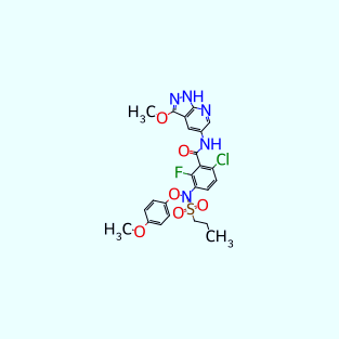 CCCS(=O)(=O)N(Oc1ccc(OC)cc1)c1ccc(Cl)c(C(=O)Nc2cnc3[nH]nc(OC)c3c2)c1F